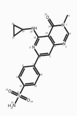 Cn1cnc2cc(-c3ccc(S(N)(=O)=O)cc3)nc(NC3CC3)c2c1=O